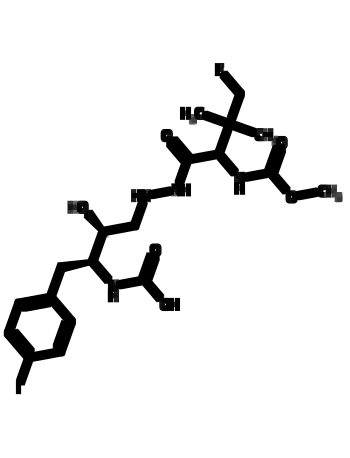 COC(=O)NC(C(=O)NNC[C@H](O)[C@H](Cc1ccc(I)cc1)NC(=O)O)C(C)(C)CF